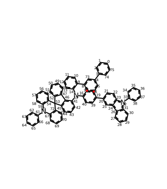 c1ccc(-c2cccc(-c3ccccc3N(c3ccc(-c4ccc5c(c4)c4ccccc4n5-c4ccccc4)cc3)c3cccc4c3-c3ccccc3C43c4ccccc4N(c4ccccc4)c4ccccc43)c2)cc1